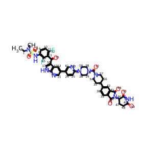 CCN(C)S(=O)(=O)Nc1ccc(F)c(C(=O)c2c[nH]c3ncc(-c4ccc(N5CCN(C(=O)N6CCC(c7ccc8c(c7)C(=O)N(C7CCC(=O)NC7=O)C8=O)CC6)CC5)nc4)cc23)c1F